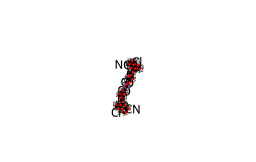 N#Cc1ccc(Cl)cc1O[C@H](CCN1CCC(OC(=O)/C=C/C(=O)OC2CCN(CC[C@@H](Oc3cc(Cl)ccc3C#N)c3ccccc3)CC2)CC1)c1ccccc1